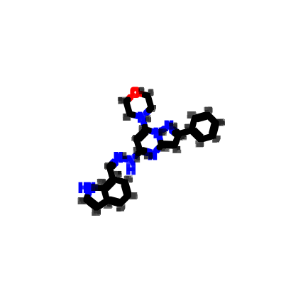 C(=N/Nc1cc(N2CCOCC2)n2nc(-c3ccccc3)cc2n1)/c1cccc2cc[nH]c12